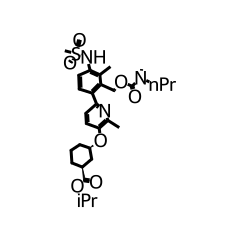 CCCN(C)C(=O)OCc1c(-c2ccc(O[C@H]3CCC[C@H](C(=O)OC(C)C)C3)c(C)n2)ccc(NS(C)(=O)=O)c1C